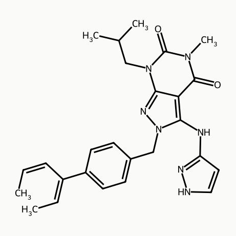 C/C=C\C(=C/C)c1ccc(Cn2nc3c(c2Nc2cc[nH]n2)c(=O)n(C)c(=O)n3CC(C)C)cc1